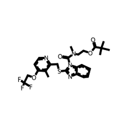 Cc1c(OCC(F)(F)F)ccnc1CSc1nc2ccccc2n1C(=O)N(C)CCOC(=O)C(C)(C)C